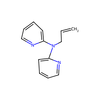 C=CCN(c1ccccn1)c1ccccn1